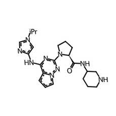 CC(C)n1cnc(Nc2nc(N3CCC[C@H]3C(=O)NC3CCCNC3)nn3cccc23)c1